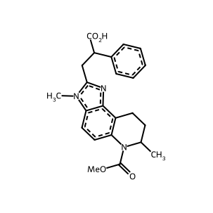 COC(=O)N1c2ccc3c(nc(CC(C(=O)O)c4ccccc4)n3C)c2CCC1C